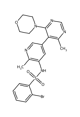 Cc1ncc(-c2c(C)ncnc2N2CCOCC2)cc1NS(=O)(=O)c1ccccc1Br